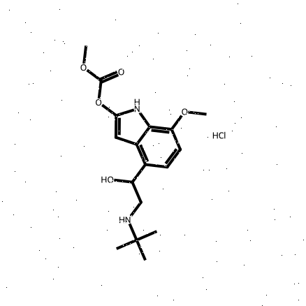 COC(=O)Oc1cc2c(C(O)CNC(C)(C)C)ccc(OC)c2[nH]1.Cl